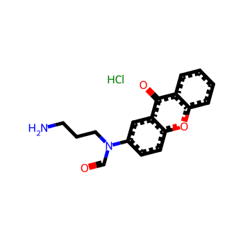 Cl.NCCCN(C=O)c1ccc2oc3ccccc3c(=O)c2c1